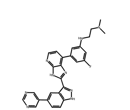 CN(C)CCNc1cc(F)cc(-c2ccnc3[nH]c(-c4n[nH]c5ccc(-c6cncnc6)cc45)nc23)c1